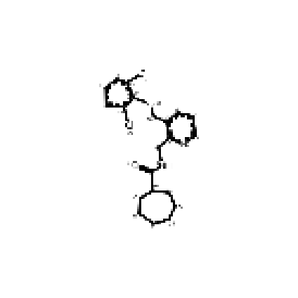 O=C(NCc1ncccc1COc1c(Cl)cccc1Cl)C1CCCCCC1